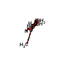 CCCCCCCCCCCCCCCCCCOC[C@H](COP(=O)(O)OC[C@@H]1C[C@@H](O)[C@](C)(c2ccc3c(N)ncnn23)O1)OCc1cccc(C#N)c1